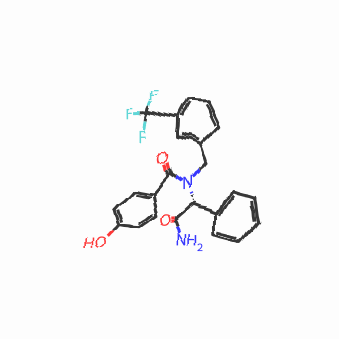 NC(=O)[C@@H](c1ccccc1)N(Cc1cccc(C(F)(F)F)c1)C(=O)c1ccc(O)cc1